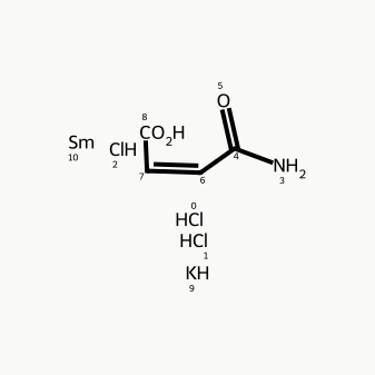 Cl.Cl.Cl.NC(=O)/C=C\C(=O)O.[KH].[Sm]